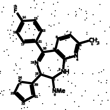 CNC1Nc2nc(C)ccc2C(c2ccc(F)cc2)=NC1c1cccs1